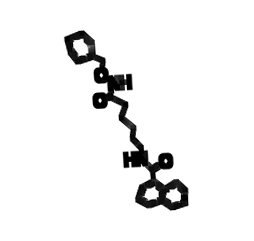 O=C(CCCCCNC(=O)c1cccc2ccccc12)NOCc1ccccc1